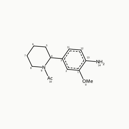 COc1cc(C2CCCCN2C(C)=O)ccc1N